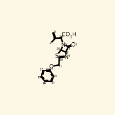 C=C(C)C(C(=O)O)N1C(=O)C2N=C(COc3ccccc3)SC21